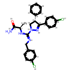 CC(C)[C@@H](N/C(=N\Cc1ccc(Cl)cc1)N1C[C@H](c2ccccc2)C(c2ccc(Cl)cc2)=N1)C(N)=O